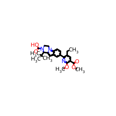 CCc1cc(C(=O)OC)c(OC)nc1-c1ccc2c(c1)cc1n2CCN(C(=O)O)C1C(C)(C)C